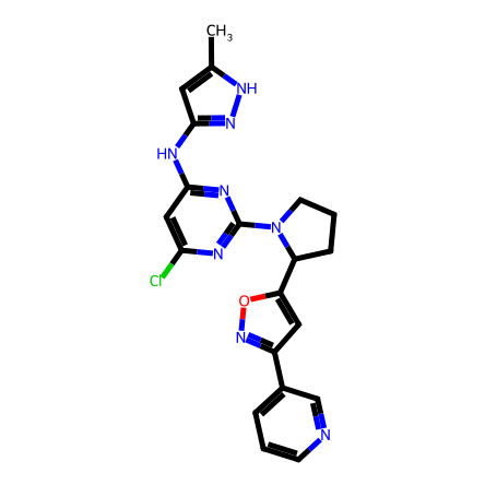 Cc1cc(Nc2cc(Cl)nc(N3CCCC3c3cc(-c4cccnc4)no3)n2)n[nH]1